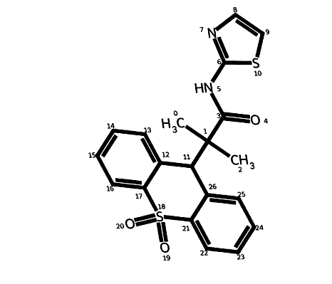 CC(C)(C(=O)Nc1nccs1)C1c2ccccc2S(=O)(=O)c2ccccc21